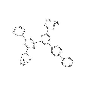 C=C/C(=C\C)c1cc(-c2ccc(-c3ccccc3)cc2)cc(-c2nc(-c3ccccc3)nc(C(/C=C\C)CC)n2)c1